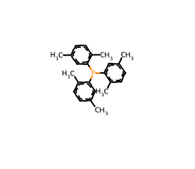 Cc1ccc(C)c(P(c2cc(C)ccc2C)c2cc(C)ccc2C)c1